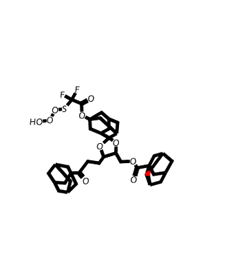 O=C(CCC1OC2(OC1COC(=O)C13CC4CC(CC(C4)C1)C3)C1CC3CC2CC(OC(=O)C(F)(F)SOOO)(C3)C1)C12CC3CC(CC(C3)C1)C2